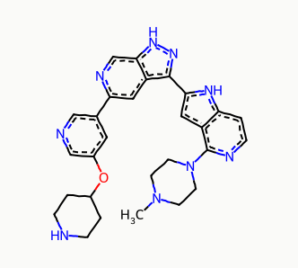 CN1CCN(c2nccc3[nH]c(-c4n[nH]c5cnc(-c6cncc(OC7CCNCC7)c6)cc45)cc23)CC1